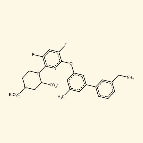 CCOC(=O)N1CCN(c2nc(Oc3cc(C)cc(-c4cccc(CN)c4)c3)c(F)cc2F)C(C(=O)O)C1